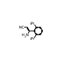 CC(C)c1cccc(C(C)C)c1C(N)=CC#N